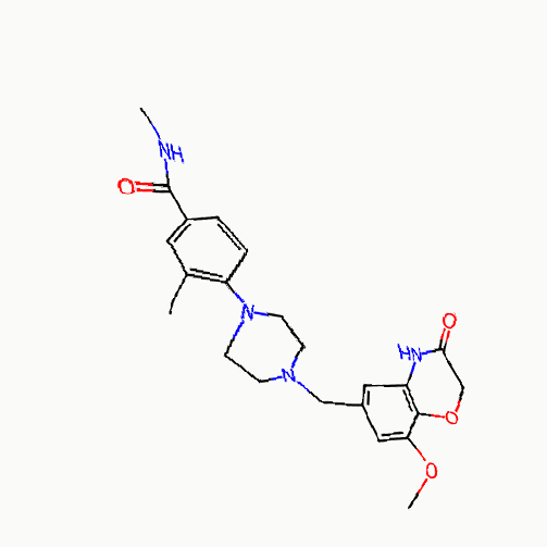 CNC(=O)c1ccc(N2CCN(Cc3cc4c(c(OC)c3)OCC(=O)N4)CC2)c(C)c1